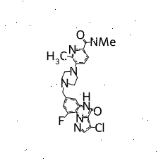 CNC(=O)c1ccc(N2CCN(Cc3cc(F)c4c(c3)[nH]c(=O)c3c(Cl)cnn34)CC2)c(C)n1